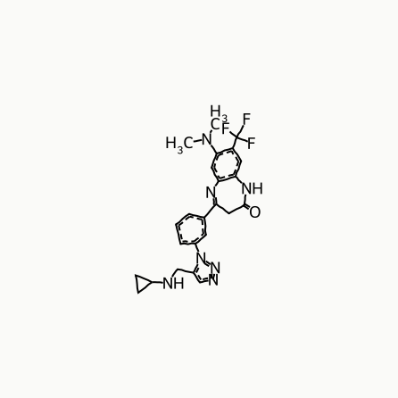 CN(C)c1cc2c(cc1C(F)(F)F)NC(=O)CC(c1cccc(-n3nncc3CNC3CC3)c1)=N2